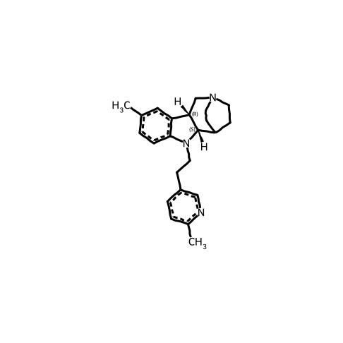 Cc1ccc2c(c1)[C@@H]1CN3CCC(CC3)[C@@H]1N2CCc1ccc(C)nc1